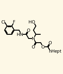 CCCCCCCC(=O)OCC(=O)N(CC(=O)NCc1cccc(Cl)c1F)C(C)CCO